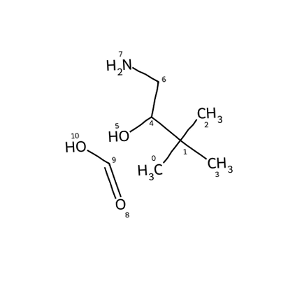 CC(C)(C)C(O)CN.O=CO